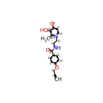 C#CCOc1ccc(C(=O)NCCn2ccc(=O)c(O)c2C)cc1